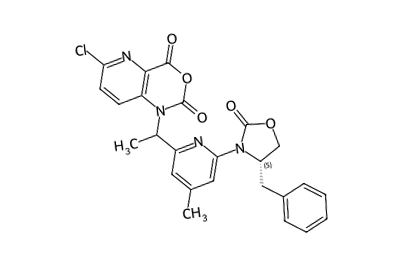 Cc1cc(C(C)n2c(=O)oc(=O)c3nc(Cl)ccc32)nc(N2C(=O)OC[C@@H]2Cc2ccccc2)c1